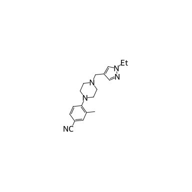 CCn1cc(CN2CCN(c3ccc(C#N)cc3C)CC2)cn1